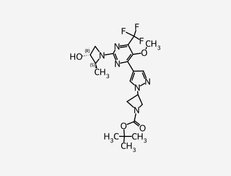 COc1c(-c2cnn(C3CN(C(=O)OC(C)(C)C)C3)c2)nc(N2C[C@@H](O)[C@@H]2C)nc1C(F)(F)F